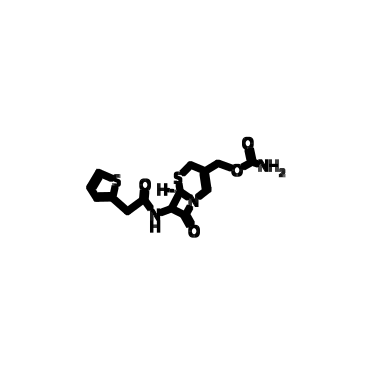 NC(=O)OCC1=CN2C(=O)C(NC(=O)Cc3cccs3)[C@H]2SC1